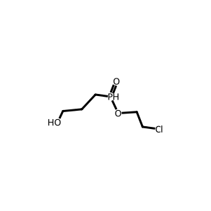 O=[PH](CCCO)OCCCl